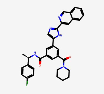 C[C@@H](NC(=O)c1cc(C(=O)N2CCCCC2)cc(-c2cnc(-c3cc4ccccc4cn3)[nH]2)c1)c1ccc(F)cc1